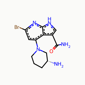 NC(=O)c1c[nH]c2nc(Br)cc(N3CCC[C@@H](N)C3)c12